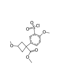 COC(=O)C1(c2ccc(OC)c(S(=O)(=O)Cl)c2)CC(OC)C1